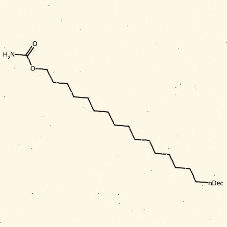 CCCCCCCCCCCCCCCCCCCCCCCCCCOC(N)=O